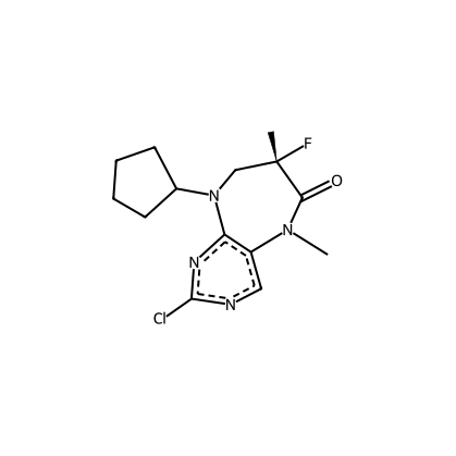 CN1C(=O)[C@@](C)(F)CN(C2CCCC2)c2nc(Cl)ncc21